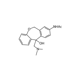 CC(=O)Nc1ccc2c(c1)COc1ccccc1C2(O)CN(C)C